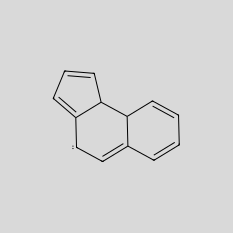 [C]1C=C2C=CC=CC2C2C=CC=C12